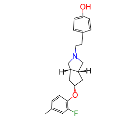 Cc1ccc(O[C@H]2C[C@@H]3CN(CCc4ccc(O)cc4)C[C@@H]3C2)c(F)c1